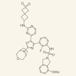 COc1cccc2c1CN(S(=O)(=O)Nc1cccc(-c3nc(N4C5CCC4COC5)sc3-c3ccnc(NC4CC5(C4)CS(=O)(=O)C5)n3)c1F)C2